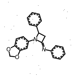 c1ccc(/N=C2\CC(c3ccccc3)N2c2ccc3c(c2)OCO3)cc1